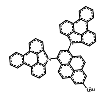 CC(C)(C)c1cc2ccc3c(-n4c5cccc6c7ccccc7c7cccc4c7c65)cc(-n4c5cccc6c7ccccc7c7cccc4c7c65)c4ccc(c1)c2c34